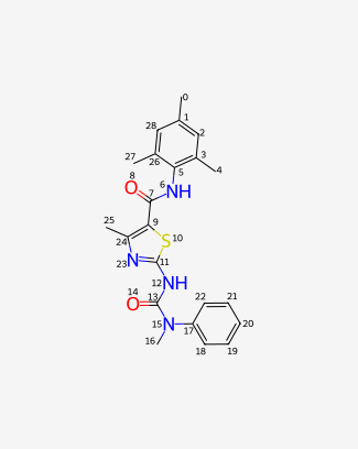 Cc1cc(C)c(NC(=O)c2sc(NC(=O)N(C)c3ccccc3)nc2C)c(C)c1